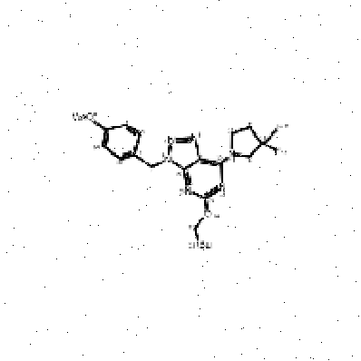 COc1ccc(Cn2nnc3c(N4CCC(F)(F)C4)nc(OCC(C)(C)C)nc32)cc1